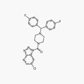 O=C(N1CCN(C(c2ccc(F)cc2)c2ccc(F)cc2)CC1)n1nnc2ncc(Cl)cc21